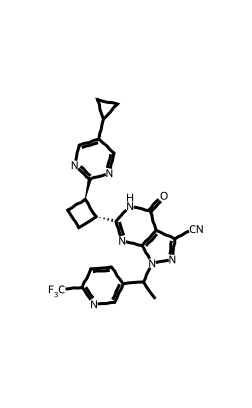 CC(c1ccc(C(F)(F)F)nc1)n1nc(C#N)c2c(=O)[nH]c([C@@H]3CC[C@H]3c3ncc(C4CC4)cn3)nc21